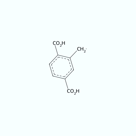 [CH2]c1cc(C(=O)O)ccc1C(=O)O